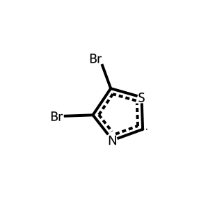 Brc1n[c]sc1Br